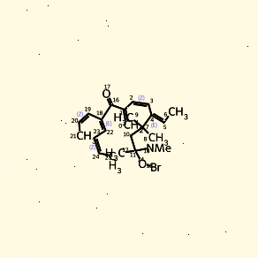 C=C(/C=C\C(=C/C)C(C)(C)CC(C)(NC)OBr)C(=O)C(/C=C\C)=C/C=C\C